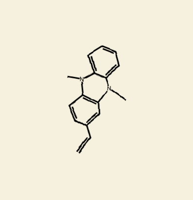 C=Cc1ccc2c(c1)N(C)c1ccccc1N2C